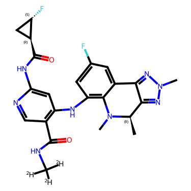 [2H]C([2H])([2H])NC(=O)c1cnc(NC(=O)[C@H]2C[C@@H]2F)cc1Nc1cc(F)cc2c1N(C)[C@H](C)c1nn(C)nc1-2